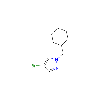 Brc1cnn(CC2CCCCC2)c1